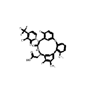 Cc1cc2cc(c1F)[C@@H](CC(=O)O)NC(=O)[C@H](n1ccc(C(F)(F)F)c(Cl)c1=O)c1cc(ccc1F)Oc1cccc(C)c1-2